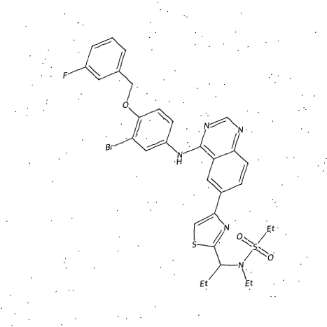 CCC(c1nc(-c2ccc3ncnc(Nc4ccc(OCc5cccc(F)c5)c(Br)c4)c3c2)cs1)N(CC)S(=O)(=O)CC